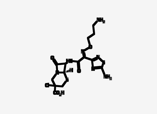 NCCCON=C(C(=O)NC1C(=O)N2CC(Cl)(C(=O)O)CS[C@H]12)c1nsc(N)n1